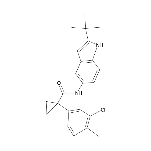 Cc1ccc(C2(C(=O)Nc3ccc4[nH]c(C(C)(C)C)cc4c3)CC2)cc1Cl